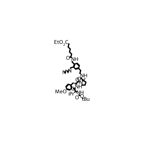 CCOC(=O)CCCCCC(=O)NCc1ccc(CCNC(=O)[C@]2(C)CCCN2C(=O)[C@H](Cc2ccc(OC)cc2)NC(=O)[C@@H](NC(=O)OC(C)(C)C)C(C)C)cc1CN=[N+]=[N-]